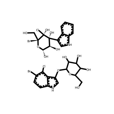 OCC1OC(Oc2c[nH]c3ccc(Br)c(Cl)c23)C(O)C(O)C1O.OC[C@@]1(Br)O[C@@H](O)[C@H](O)[C@](O)(c2c[nH]c3ccccc23)[C@]1(O)Cl